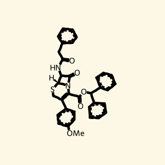 COc1ccc(C2=C(C(=O)OC(c3ccccc3)c3ccccc3)N3C(=O)C(NC(=O)Cc4ccccc4)[C@H]3SC2)cc1